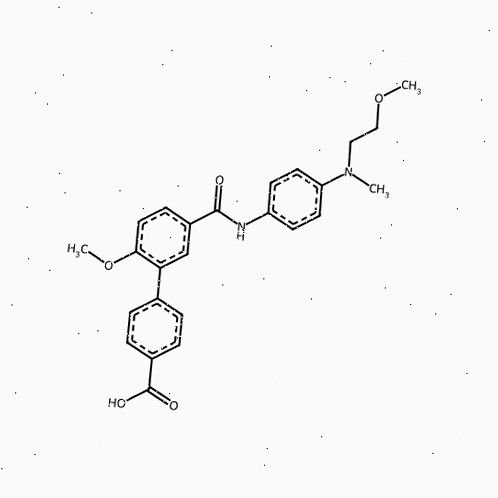 COCCN(C)c1ccc(NC(=O)c2ccc(OC)c(-c3ccc(C(=O)O)cc3)c2)cc1